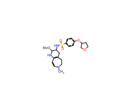 COC1NC2=C(CCN(C)C=C2)CC1NS(=O)(=O)c1ccc(OC2CCOC2)cc1